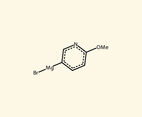 COc1cc[c]([Mg][Br])cn1